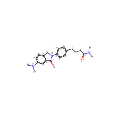 CN(C)C(=O)CCCc1ccc(N2Cc3ccc(N(C)C)cc3C2=O)cc1